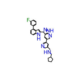 Fc1cccc(-c2cccc3[nH]c(-c4n[nH]c5ncc(-c6cncc(CNCC7CCCC7)c6)cc45)cc23)c1